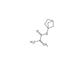 C=C(C)C(=O)OC12CCC(C1)C2